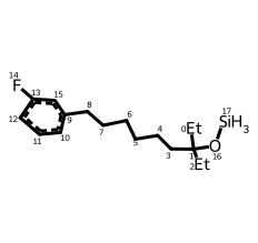 CCC(CC)(CCCCCCc1cccc(F)c1)O[SiH3]